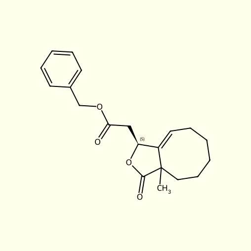 CC12CCCCCC=C1[C@H](CC(=O)OCc1ccccc1)OC2=O